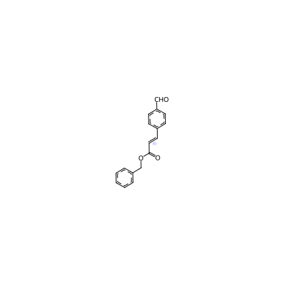 O=Cc1ccc(/C=C/C(=O)OCc2ccccc2)cc1